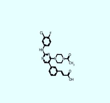 CC(=O)N1CCN(c2nc(Nc3ccc(F)c(Cl)c3)ncc2-c2cccc(C=CC(=O)O)c2)CC1